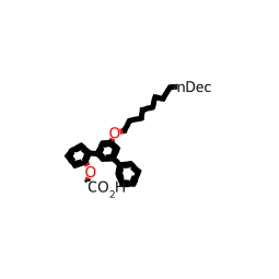 CCCCCCCCCCCCCCCCCCOc1cc(-c2ccccc2)cc(-c2ccccc2OCC(=O)O)c1